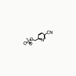 CS(=O)(=O)OCc1ccc(C#N)cn1